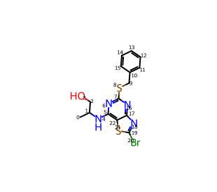 CC(CO)Nc1nc(SCc2ccccc2)nc2nc(Br)sc12